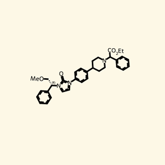 CCOC(=O)C(c1ccccc1)N1CCC(c2ccc(-n3ccn([C@@H](COC)c4ccccc4)c3=O)cc2)CC1